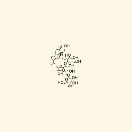 CC(CCC(O[C@@H]1O[C@H](CO[C@@H]2O[C@H](CO)[C@@H](O)[C@H](O)[C@H]2O)[C@@H](O)[C@H](O)[C@H]1O[C@@H]1O[C@H](CO)[C@@H](O)[C@H](O)[C@H]1O)C(C)(C)O)[C@H]1CC[C@@]2(C)C3CC=C4[C@@H](CC[C@H](O)C4(C)C)[C@]3(C)CC[C@]12C